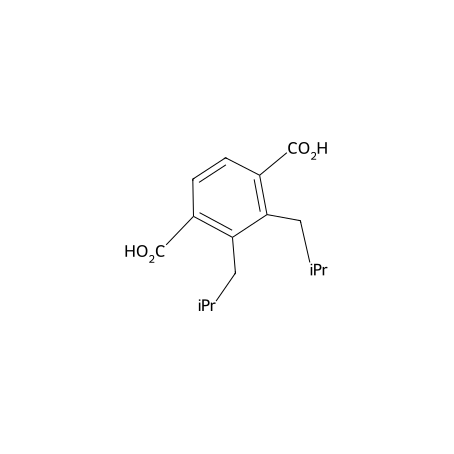 CC(C)Cc1c(C(=O)O)ccc(C(=O)O)c1CC(C)C